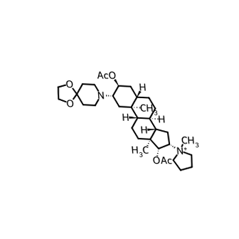 CC(=O)O[C@H]1C[C@@H]2CC[C@@H]3[C@H](CC[C@@]4(C)[C@H]3C[C@H]([N+]3(C)CCCC3)[C@@H]4OC(C)=O)[C@@]2(C)C[C@@H]1N1CCC2(CC1)OCCO2